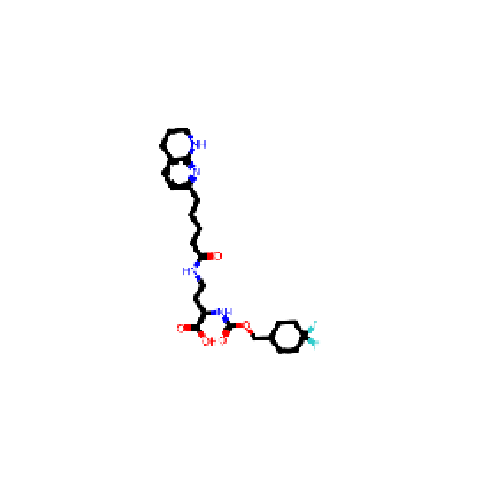 O=C(CCCCc1ccc2c(n1)NCCC2)NCCC(NC(=O)OCC1CCC(F)(F)CC1)C(=O)O